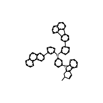 CC1C=Cc2c(n(-c3cccc(N(c4cccc(-c5ccc6c(c5)-c5cccc7cccc-6c57)c4)c4cccc(-c5ccc6c(ccc7ccccc76)c5)c4)c3)c3ccccc23)C1